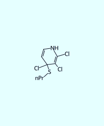 CCCSC1(Cl)C=CNC(Cl)=C1Cl